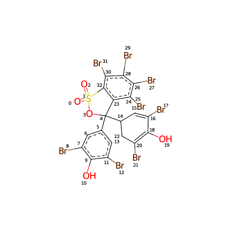 O=S1(=O)OC(c2cc(Br)c(O)c(Br)c2)(C2C=C(Br)C(O)=C(Br)C2)c2c(Br)c(Br)c(Br)c(Br)c21